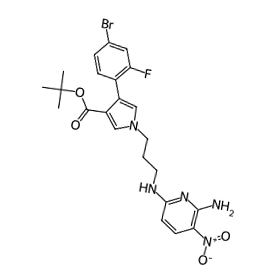 CC(C)(C)OC(=O)c1cn(CCCNc2ccc([N+](=O)[O-])c(N)n2)cc1-c1ccc(Br)cc1F